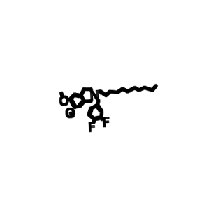 CCCCCCCCCCC[N+]1(Cc2ccc(F)c(F)c2)CCc2cc(OC)c(OC)cc2C1